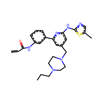 C=CC(=O)Nc1cccc(-c2cc(CN3CCN(CCC)CC3)cc(Nc3ncc(C)s3)n2)c1